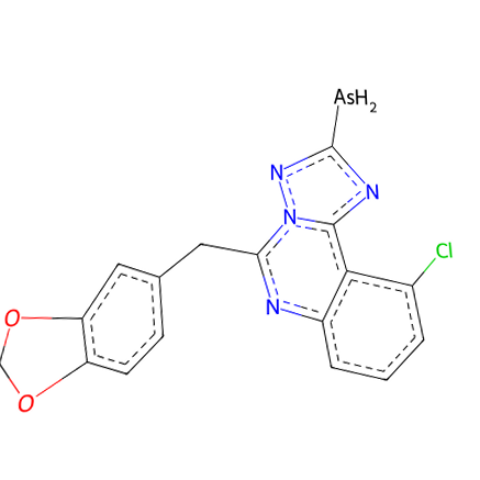 Clc1cccc2nc(Cc3ccc4c(c3)OCO4)n3nc([AsH2])nc3c12